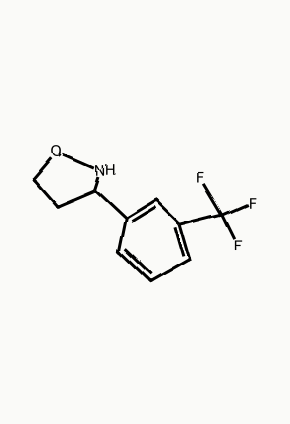 FC(F)(F)c1cccc(C2CCON2)c1